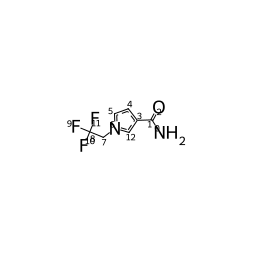 NC(=O)c1ccn(CC(F)(F)F)c1